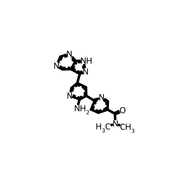 CN(C)C(=O)c1ccc(-c2cc(-c3n[nH]c4ncncc34)cnc2N)nc1